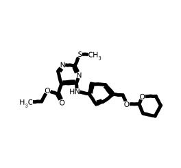 CCOC(=O)c1cnc(SC)nc1Nc1ccc(COC2CCCCO2)cc1